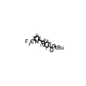 CC(C)(C)OC(=O)N1CCC2(C=C(c3cccc(C(F)(F)F)n3)C2)CC1